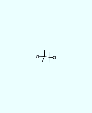 CC(C)(Cl)C(C)(C)Cl